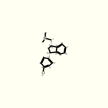 CN(C)C[C@H]1C[C@@H](c2ccc(Cl)cc2)c2ccccc21